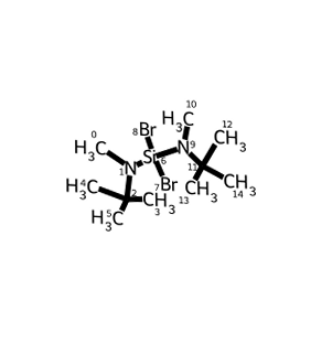 CN(C(C)(C)C)[Si](Br)(Br)N(C)C(C)(C)C